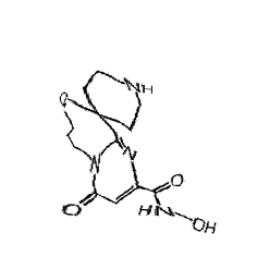 O=C(NO)c1cc(=O)n2c(n1)C1(CCNCC1)OCC2